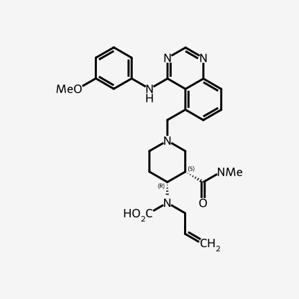 C=CCN(C(=O)O)[C@@H]1CCN(Cc2cccc3ncnc(Nc4cccc(OC)c4)c23)C[C@@H]1C(=O)NC